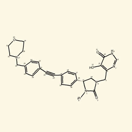 CC(C)N1C(=O)N(Cc2nc[nH]c(=O)c2O)C[C@H]1c1ccc(C#Cc2ccc(CN3CCOCC3)cc2)cc1